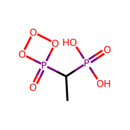 CC(P(=O)(O)O)P1(=O)OOO1